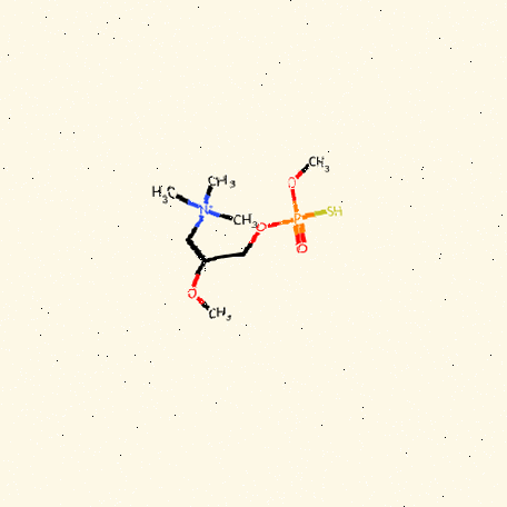 COC(COP(=O)(S)OC)C[N+](C)(C)C